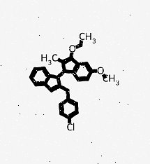 CCOC1=C(C)C(C2C(Cc3ccc(Cl)cc3)=Cc3ccccc32)c2ccc(OC)cc21